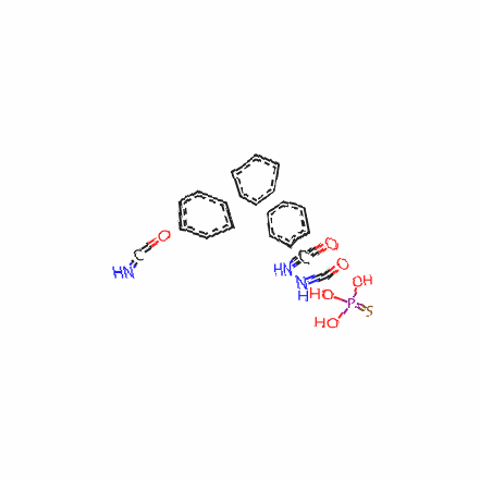 N=C=O.N=C=O.N=C=O.OP(O)(O)=S.c1ccccc1.c1ccccc1.c1ccccc1